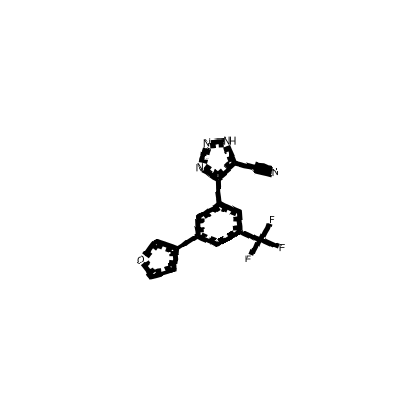 N#Cc1[nH]nnc1-c1cc(-c2ccoc2)cc(C(F)(F)F)c1